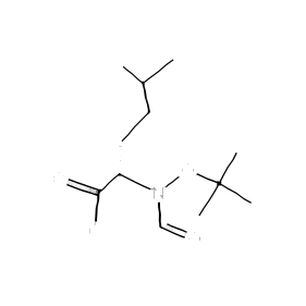 CC(C)CC[C@@H](C(=O)O)N(C=O)OC(C)(C)C